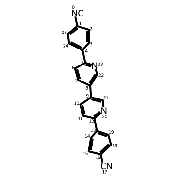 [C-]#[N+]c1ccc(-c2ccc(-c3ccc(-c4ccc(C#N)cc4)nc3)cn2)cc1